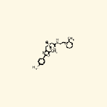 Cc1ccc(-c2nc(CS(=O)(=O)CC(=O)NCCN3CCCCC3C)c(C)o2)cc1